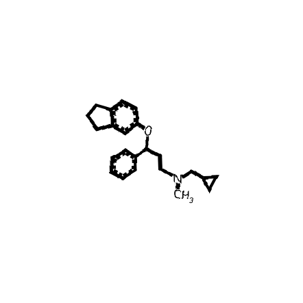 CN(CCC(Oc1ccc2c(c1)CCC2)c1ccccc1)CC1CC1